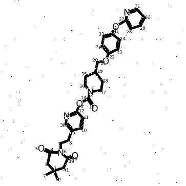 CC1(C)CC(=O)N(CCc2ccc(OC(=O)N3CCC(COc4ccc(Oc5ccccn5)cc4)CC3)nc2)C(=O)C1